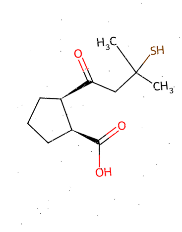 CC(C)(S)CC(=O)[C@@H]1CCC[C@@H]1C(=O)O